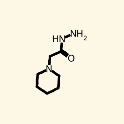 NNC(=O)CN1CCCCC1